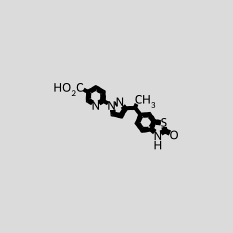 CC(c1ccc2[nH]c(=O)sc2c1)c1ccn(-c2ccc(C(=O)O)cn2)n1